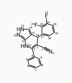 N#CC1=C(c2ccccc2)Nc2n[nH]cc2C1c1cccc(F)c1F